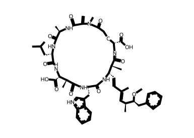 C=C1C(=O)N[C@H](C)C(=O)N[C@@H](CC(C)C)C(=O)N[C@@H](C(=O)O)[C@H](C)C(=O)N[C@@H](Cc2c[nH]c3ccccc23)C(=O)N[C@@H](/C=C/C(C)=C/[C@H](C)[C@H](Cc2ccccc2)OC)[C@H](C)C(=O)N[C@@H](C(=O)O)CCC(=O)N1C